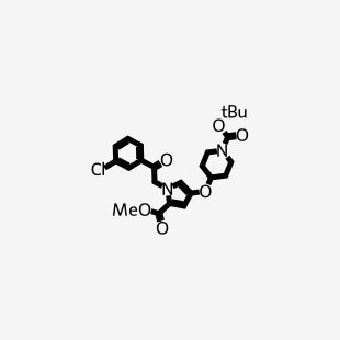 COC(=O)c1cc(OC2CCN(C(=O)OC(C)(C)C)CC2)cn1CC(=O)c1cccc(Cl)c1